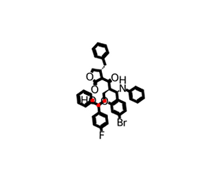 O=C1OC[C@H](Cc2ccccc2)C1C(=O)[C@H](CC[C@H](O)c1ccc(F)cc1)[C@H](Nc1ccccc1)c1ccc(Br)cc1OCc1ccccc1